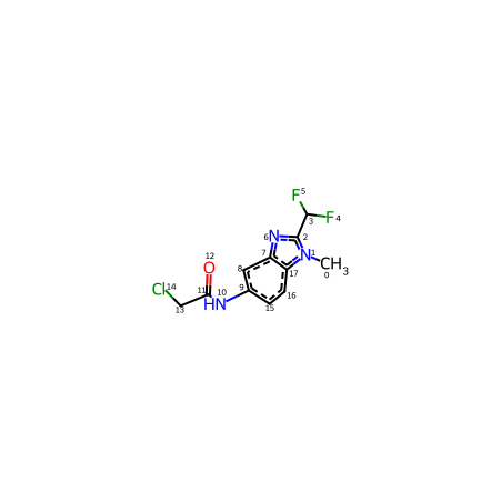 Cn1c(C(F)F)nc2cc(NC(=O)CCl)ccc21